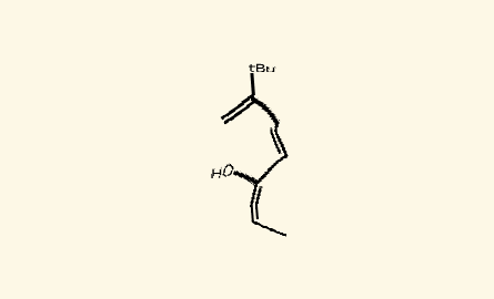 C=C(/C=C\C(O)=C/C)C(C)(C)C